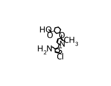 Cc1nc(-c2sc(Cl)cc2CN)ccc1O[C@H]1CCC[C@H](C(=O)O)C1